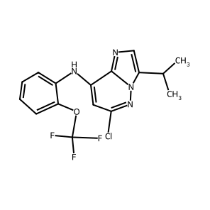 CC(C)c1cnc2c(Nc3ccccc3OC(F)(F)F)cc(Cl)nn12